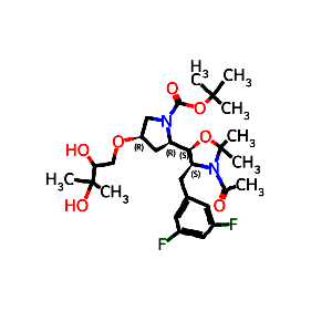 CC(=O)N1[C@@H](Cc2cc(F)cc(F)c2)[C@@H]([C@H]2C[C@@H](OCC(O)C(C)(C)O)CN2C(=O)OC(C)(C)C)OC1(C)C